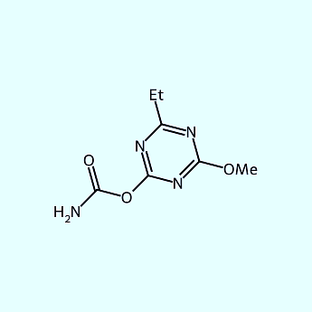 CCc1nc(OC)nc(OC(N)=O)n1